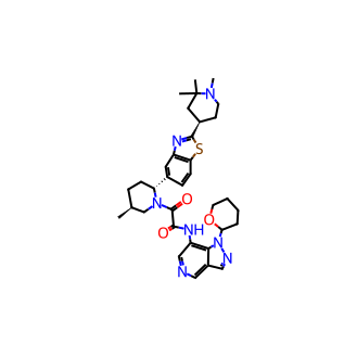 C[C@H]1CC[C@H](c2ccc3sc([C@@H]4CCN(C)C(C)(C)C4)nc3c2)N(C(=O)C(=O)Nc2cncc3cnn(C4CCCCO4)c23)C1